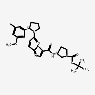 CSc1cc(F)cc([C@H]2CCCN2c2ccc3ncc(C(=O)N[C@H]4CCN(C(=O)OC(C)(C)C)C4)n3n2)c1